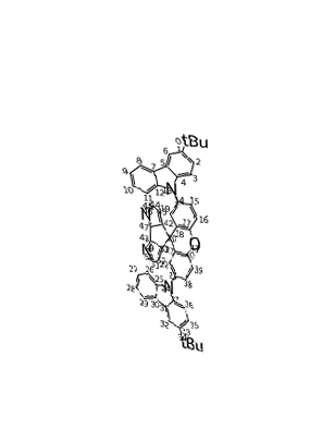 CC(C)(C)c1ccc2c(c1)c1ccccc1n2-c1ccc2c(c1)C1(c3cc(-n4c5ccccc5c5cc(C(C)(C)C)ccc54)ccc3O2)c2cccnc2-c2ncccc21